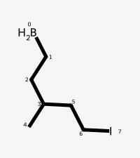 BCCC(C)CCI